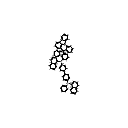 c1ccc(N(c2ccc(-c3ccc(N(c4cccc(C5(c6ccccc6)c6ccccc6-n6c7ccccc7c7cccc5c76)c4)c4cccc5ccccc45)cc3)cc2)c2cccc3ccccc23)cc1